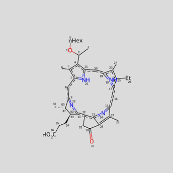 CCCCCCOC(C)c1c(C)c2cc3nc(c4c5nc(cc6[nH]c(cc1[nH]2)c(C)c6CC)C(C)=C5C(=O)C4)[C@@H](CCC(=O)O)[C@@H]3C